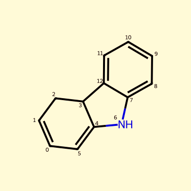 C1=CCC2C(=C1)Nc1ccccc12